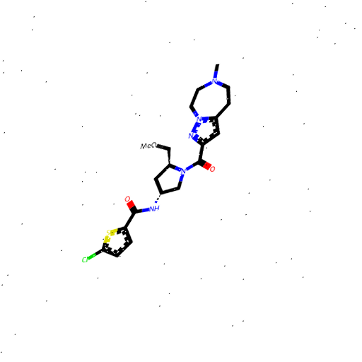 COC[C@@H]1C[C@@H](NC(=O)c2ccc(Cl)s2)CN1C(=O)c1cc2n(n1)CCN(C)CC2